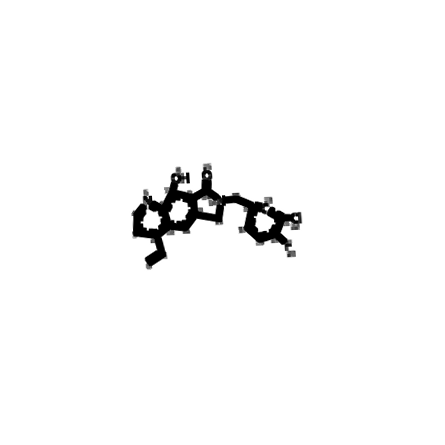 C=Cc1ccnc2c(O)c3c(cc12)CN(Cc1ccc(F)c(Cl)c1)C3=O